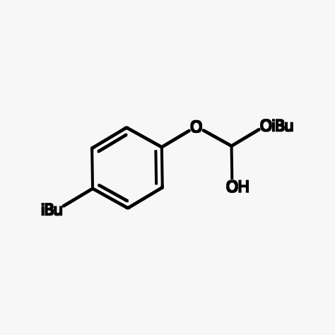 CCC(C)c1ccc(OC(O)OCC(C)C)cc1